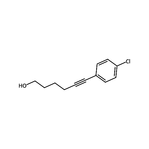 OCCCCC#Cc1ccc(Cl)cc1